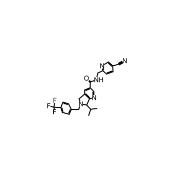 CC(C)C1c2ncc(C(=O)NCc3ccc(C#N)cn3)cc2CN1Cc1ccc(C(F)(F)F)cc1